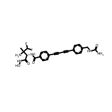 CC(N)(C(F)F)[C@H](NC(=O)c1ccc(C#CC#Cc2ccc(CNC(N)=O)cc2)cc1)C(=O)NO